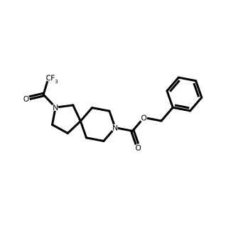 O=C(OCc1ccccc1)N1CCC2(CC1)CCN(C(=O)C(F)(F)F)C2